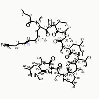 CCCC(=O)N(C)C(C[C@H](C)C/C=C/CCC#N)C(=O)N[C@@H](CC)C(=O)N(C)[C@H](C)C(=O)N(C)[C@@H](CC(C)C)C(=O)N[C@H](C(=O)N(C)[C@@H](CC(C)C)C(=O)N[C@H](C)C(=O)NC(=O)N(C)[C@@H](CC(C)C)C(=O)NC)C(C)C